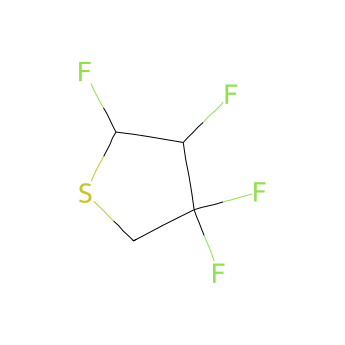 FC1SCC(F)(F)C1F